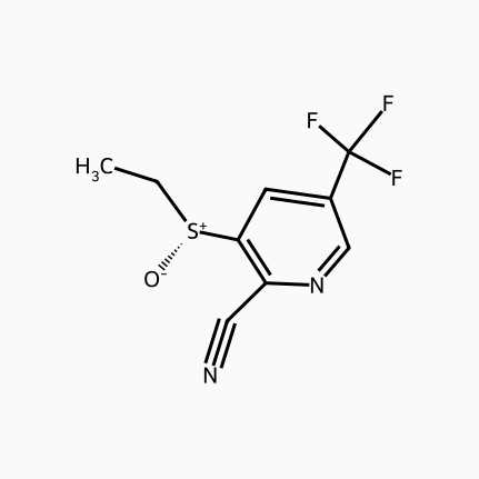 CC[S@@+]([O-])c1cc(C(F)(F)F)cnc1C#N